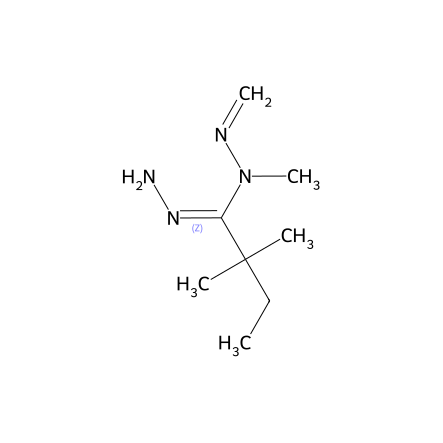 C=NN(C)/C(=N\N)C(C)(C)CC